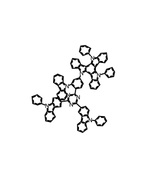 c1ccc(-n2c3ccccc3c3cc(-c4nc(-c5ccc6c(c5)c5ccccc5n6-c5ccccc5)nc(-c5ccc(-n6c7ccccc7c7c8c(c9ccccc9n8-c8ccccc8)c8c(c9ccccc9n8-c8ccccc8)c76)cc5-n5c6ccccc6c6ccccc65)n4)ccc32)cc1